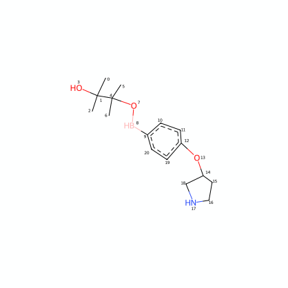 CC(C)(O)C(C)(C)OBc1ccc(OC2CCNC2)cc1